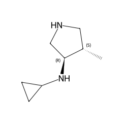 C[C@H]1CNC[C@@H]1NC1CC1